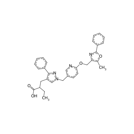 CCC(Cc1cn(Cc2ccc(OCc3nc(-c4ccccc4)oc3C)nc2)nc1-c1ccccc1)C(=O)O